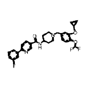 O=C(NC1CCN(Cc2ccc(OC(F)F)c(OC3CC3)c2)CC1)c1ccc(-c2cccc(F)c2)nc1